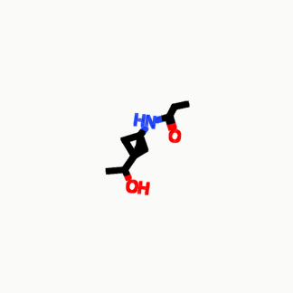 CCC(=O)NC12CC(C(C)O)(C1)C2